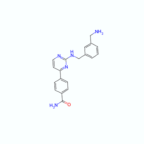 NCc1cccc(CNc2nccc(-c3ccc(C(N)=O)cc3)n2)c1